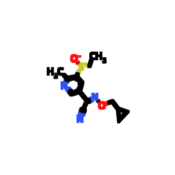 CC[S+]([O-])c1cc(/C(C#N)=N/OCC2CC2)cnc1C